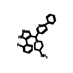 NC1CCN(C(c2ccc(-c3ccccc3)nc2)c2cn[nH]c2-c2ccccc2F)CC1